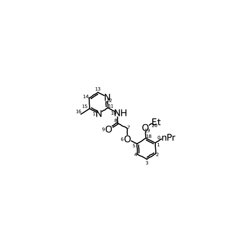 CCCc1cccc(OCC(=O)Nc2nccc(C)n2)c1OCC